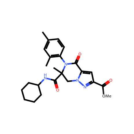 COC(=O)c1cc2n(n1)CC(C)(C(=O)NC1CCCCC1)N(c1ccc(C)cc1C)C2=O